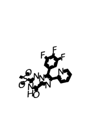 CS(=O)(=O)c1nn2c(-c3cc(F)c(F)c(F)c3)c(-c3ccccn3)nc2c(=O)[nH]1